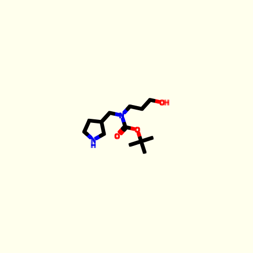 CC(C)(C)OC(=O)N(CCCO)CC1CCNC1